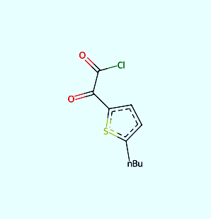 CCCCc1ccc(C(=O)C(=O)Cl)s1